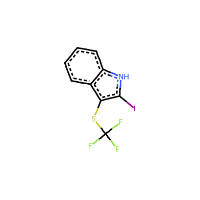 FC(F)(F)Sc1c(I)[nH]c2ccccc12